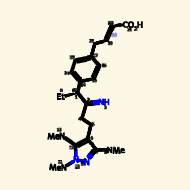 CC[C@H](C(=N)CCc1c(NC)nn(NC)c1NC)c1ccc(C/C=C/C(=O)O)cc1